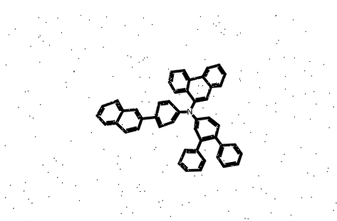 c1ccc(-c2ccc(N(c3ccc(-c4ccc5ccccc5c4)cc3)c3cc4ccccc4c4ccccc34)cc2-c2ccccc2)cc1